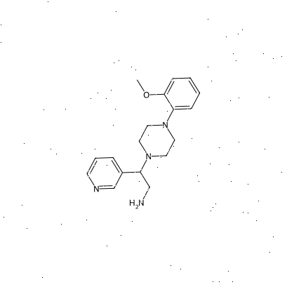 COc1ccccc1N1CCN(C(CN)c2cccnc2)CC1